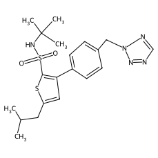 CC(C)Cc1cc(-c2ccc(Cn3ncnn3)cc2)c(S(=O)(=O)NC(C)(C)C)s1